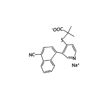 CC(C)(Sc1ccncc1-c1ccc(C#N)c2ccccc12)C(=O)[O-].[Na+]